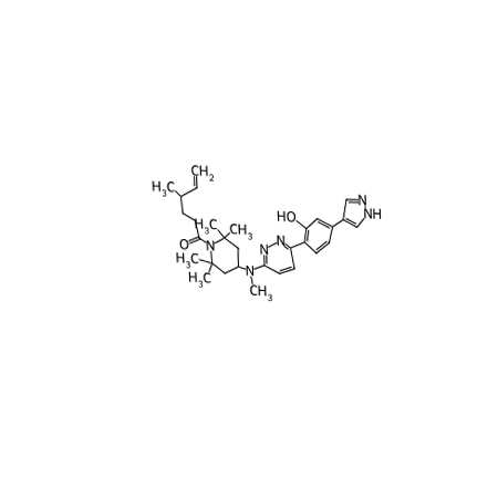 C=CC(C)CCC(=O)N1C(C)(C)CC(N(C)c2ccc(-c3ccc(-c4cn[nH]c4)cc3O)nn2)CC1(C)C